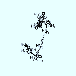 CC(N=[N+]=[N-])c1ccccc1C(=O)OC1C[C@H](n2cc(C#CCNC(=O)CCCCOCSSCCNC(=O)CCCCCN3\C(=C/C=C/C=C/C4=[N+](C)c5ccc(S(=O)(=O)O)cc5C4(C)C)C(C)(C)c4ccccc43)c3c(N)ncnc32)O[C@@H]1COP(=O)(O)OP(=O)(O)OP(=O)(O)O